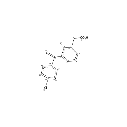 Cc1c(CC(=O)O)cccc1C(=O)c1ccc(Cl)cc1